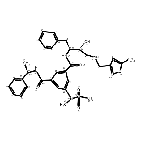 Cc1cc(CNC[C@@H](O)[C@H](Cc2ccccc2)NC(=O)c2cc(C(=O)N[C@H](C)c3ccccc3)cc(N(C)S(C)(=O)=O)c2)no1